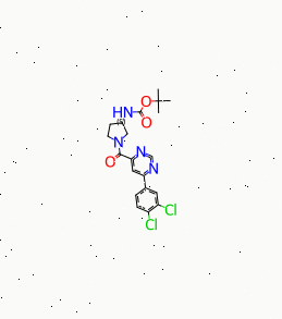 CC(C)(C)OC(=O)N[C@H]1CCN(C(=O)c2cc(-c3ccc(Cl)c(Cl)c3)ncn2)C1